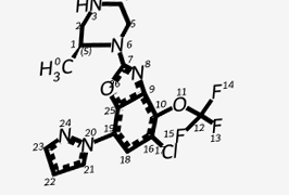 C[C@H]1CNCCN1c1nc2c(OC(F)(F)F)c(Cl)cc(-n3cccn3)c2o1